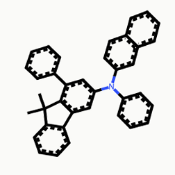 CC1(C)c2ccccc2-c2cc(N(c3ccccc3)c3ccc4ccccc4c3)cc(-c3ccccc3)c21